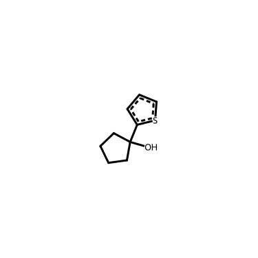 OC1(c2cccs2)CCCC1